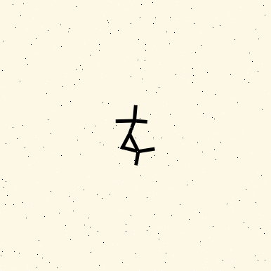 CC(C)(C)C1[CH]C1(C)C